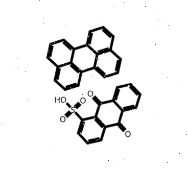 O=C1c2ccccc2C(=O)c2c1cccc2S(=O)(=O)O.c1cc2cccc3c4cccc5cccc(c(c1)c23)c54